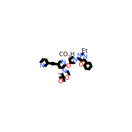 CCc1nc(N2C[C@@H](Oc3ncc(C#Cc4cccnc4)cc3N3CCOC4(COC4)[C@@H]3C)C[C@H]2C(=O)O)c2oc3ccccc3c2n1